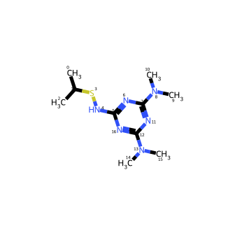 CC(C)SNc1nc(N(C)C)nc(N(C)C)n1